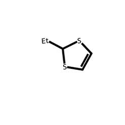 [CH2]CC1SC=CS1